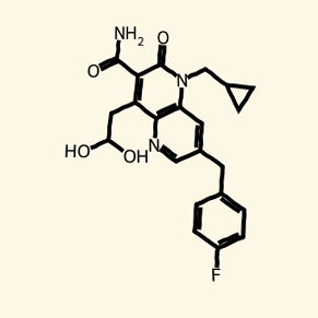 NC(=O)c1c(CC(O)O)c2ncc(Cc3ccc(F)cc3)cc2n(CC2CC2)c1=O